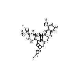 CCOCOC[C@H](C[C@H](Cc1cccc(OC)c1)C(=O)NO)NC(=O)c1ccc(C(OC)OC)cc1